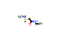 CC(C)CNC(=O)C/S(C)=N/C#N